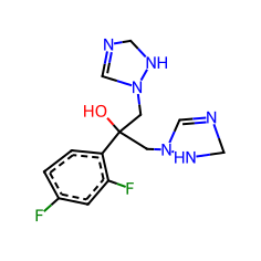 OC(CN1C=NCN1)(CN1C=NCN1)c1ccc(F)cc1F